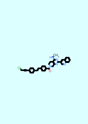 CNc1nc(-c2cnc3ccccc3c2)nc2c1CCN(C(=O)c1ccc(/C=C/c3ccc(C#CCCl)cc3)cc1)C2